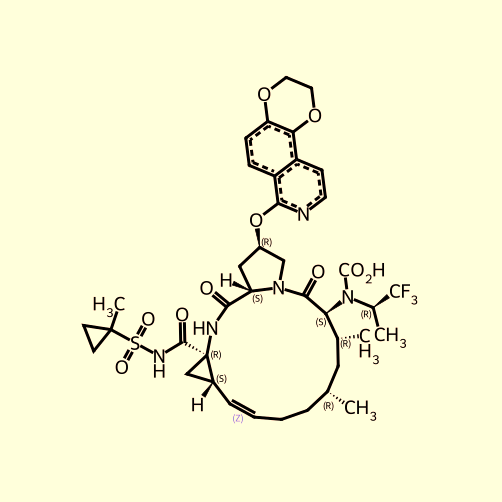 C[C@@H]1CC/C=C\[C@@H]2C[C@@]2(C(=O)NS(=O)(=O)C2(C)CC2)NC(=O)[C@@H]2C[C@@H](Oc3nccc4c5c(ccc34)OCCO5)CN2C(=O)[C@@H](N(C(=O)O)[C@H](C)C(F)(F)F)[C@H](C)C1